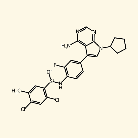 Cc1cc([S+]([O-])Nc2ccc(-c3cn(C4CCCC4)c4ncnc(N)c34)cc2F)c(Cl)cc1Cl